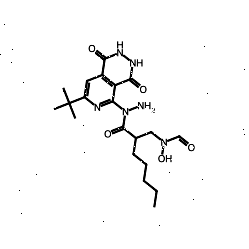 CCCCCC(CN(O)C=O)C(=O)N(N)c1nc(C(C)(C)C)cc2c(=O)[nH][nH]c(=O)c12